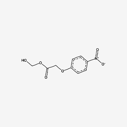 O=C(COc1ccc([N+](=O)[O-])cc1)OCO